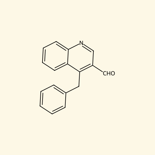 O=Cc1cnc2ccccc2c1Cc1ccccc1